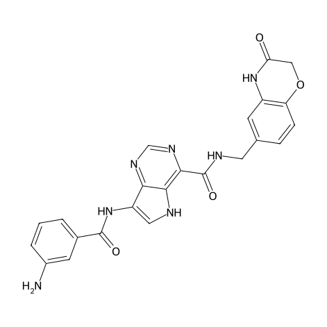 Nc1cccc(C(=O)Nc2c[nH]c3c(C(=O)NCc4ccc5c(c4)NC(=O)CO5)ncnc23)c1